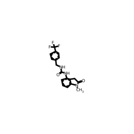 CN1C(=O)Cc2c(NC(=O)NCc3ccc(C(F)(F)F)cc3)cccc21